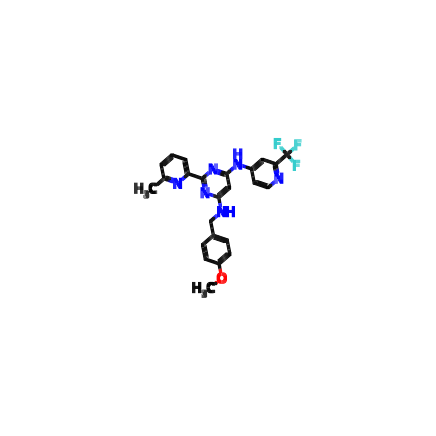 COc1ccc(CNc2cc(Nc3ccnc(C(F)(F)F)c3)nc(-c3cccc(C)n3)n2)cc1